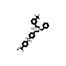 COC(=O)c1ccc(S(=O)(=O)c2ccc(CCN(Cc3ccccc3)C[C@H](O)c3cccc(C(F)(F)F)c3)cc2)cc1